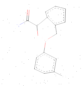 Cc1cccc(OCc2ccccc2C(O)C(N)=O)c1